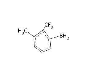 Bc1cccc(C)c1C(F)(F)F